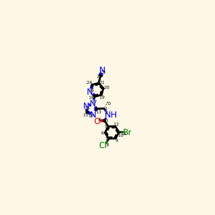 C[C@H](NC(=O)c1cc(Cl)cc(Br)c1)c1ncnn1-c1ccc(C#N)cn1